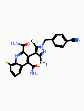 Cc1nn(Cc2ccc(C#N)cc2)c(C)c1-c1c(C(N)=O)nc2c(F)cccc2c1C(N)=O